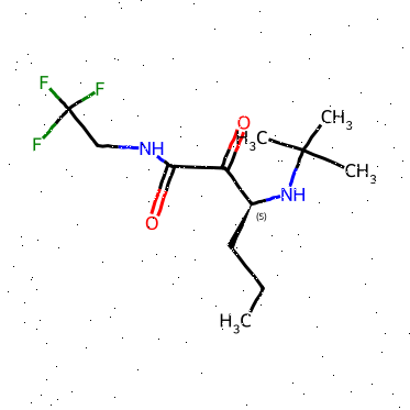 CCC[C@H](NC(C)(C)C)C(=O)C(=O)NCC(F)(F)F